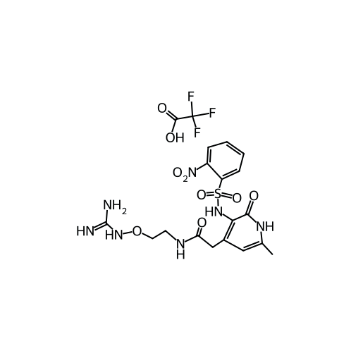 Cc1cc(CC(=O)NCCONC(=N)N)c(NS(=O)(=O)c2ccccc2[N+](=O)[O-])c(=O)[nH]1.O=C(O)C(F)(F)F